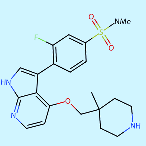 CNS(=O)(=O)c1ccc(-c2c[nH]c3nccc(OCC4(C)CCNCC4)c23)c(F)c1